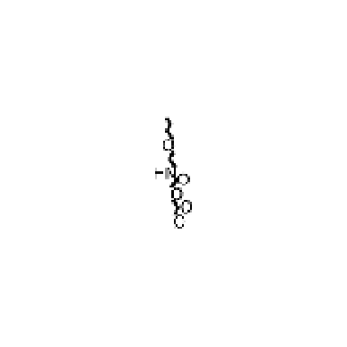 CCCCOCCCNC(=O)COCC(COC)OC